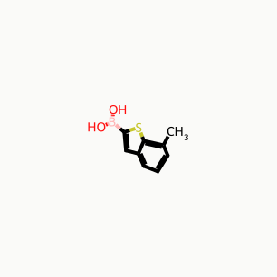 Cc1cccc2cc(B(O)O)sc12